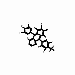 Fc1cc(-c2c3c(F)cccc3c(-c3c(F)c(F)c(C(F)(F)F)c(F)c3F)c3c(F)c(F)c(F)c(F)c23)cc(F)c1F